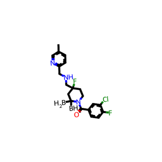 BC1(B)CC(F)(CNCc2ccc(C)cn2)CCN1C(=O)c1ccc(F)c(Cl)c1